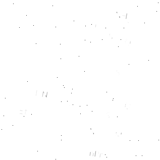 CCCN1CC(NCC)c2cc(S(N)(=O)=O)sc2S1(=O)=O